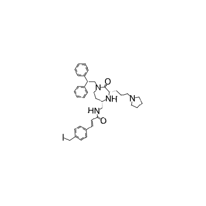 O=C(/C=C/c1ccc(CI)cc1)NC[C@@H]1CCN(CC(c2ccccc2)c2ccccc2)C(=O)[C@H](CCCN2CCCC2)N1